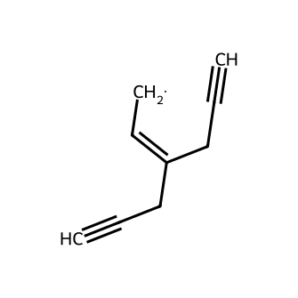 C#CCC(=C[CH2])CC#C